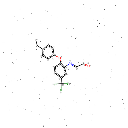 CCc1ccc(Oc2ccc(C(F)(F)F)cc2N=CC=O)cc1